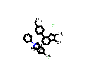 CC1=C2c3cn(-c4ccccc4)cc3C1[Si]2(C)C.CCc1ccc(-c2cccc3c2C=C(C)[CH]3[Zr+2])cc1.[Cl-].[Cl-]